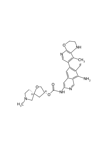 Cc1c(-c2cc3cc(NC(=O)O[C@H]4CO[C@@]5(CCN(C)C5)C4)ncc3c(N)c2F)cnc2c1NCCO2